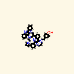 OC1CCC(CCN2CCCN3c4c(nc5c(c42)CCCC5C2CN(CCN4CCCC4)c4c5c(nc6c4N(C2)C2CCCCC62)CCCC5)C2CCCCC23)CC1